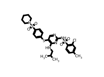 Cc1ccc(S(=O)(=O)Nc2ncc(Sc3ccc(S(=O)(=O)N4CCCCC4)cc3)c(NCC(C)C)n2)c(Cl)c1